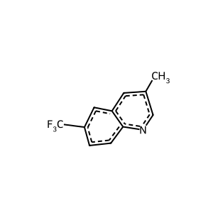 Cc1cnc2ccc(C(F)(F)F)cc2c1